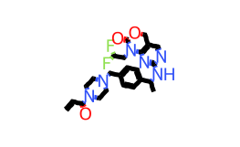 C=CC(=O)N1CCN(Cc2ccc(C(C)Nc3ncc4c(n3)N(CC(F)F)C(=O)OC4)cc2)CC1